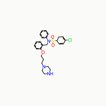 O=S(=O)(C1C=CC(Cl)=CC1)N(Cc1ccccc1OCCCN1CCNCC1)c1ccccc1